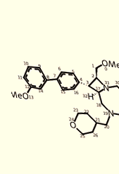 COC[C@@H]1[C@@H](c2ccc(-c3cccc(OC)c3)cc2)[C@@H]2CN(CC3CCOCC3)CCCCN12